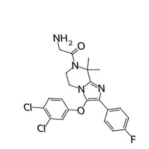 CC1(C)c2nc(-c3ccc(F)cc3)c(Oc3ccc(Cl)c(Cl)c3)n2CCN1C(=O)CN